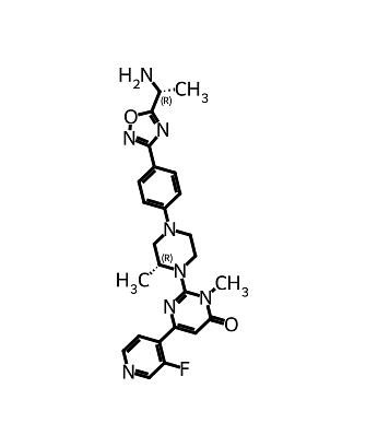 C[C@@H]1CN(c2ccc(-c3noc([C@@H](C)N)n3)cc2)CCN1c1nc(-c2ccncc2F)cc(=O)n1C